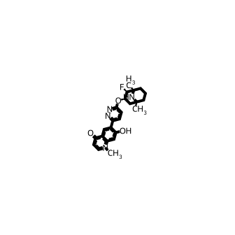 Cn1ccc(=O)c2cc(-c3ccc(O[C@@H]4C[C@@]5(C)CCC[C@](C)(N5)[C@@H]4F)nn3)c(O)cc21